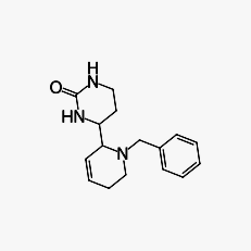 O=C1NCCC(C2C=CCCN2Cc2ccccc2)N1